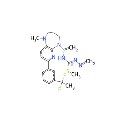 C=N/N=C(/NC(=C)N1CCCN(C)c2ccc(-c3cccc(C(C)(F)F)c3)nc21)SC